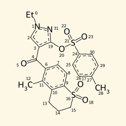 CCn1cc(C(=O)c2ccc3c(c2C)CCCS3(=O)=O)c(OS(=O)(=O)c2ccc(C)cc2)n1